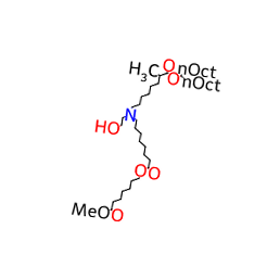 CCCCCCCCC(CCCCCCCC)OC(=O)C(C)CCCCCCN(CCO)CCCCCCCC(=O)OCCCCCCC(=O)OC